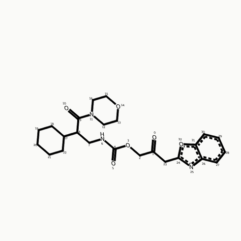 O=C(COC(=O)NCC(C(=O)N1CCOCC1)C1CCCCC1)Cc1nc2ccccc2o1